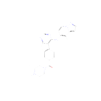 C[C@@H]1CN(C(=O)[C@H]2CCc3c(sc4ncnc(Nc5ccn6nccc6c5Cl)c34)C2)CCN1C